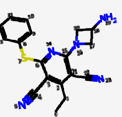 CCc1c(C#N)c(Sc2ccccc2)nc(N2CC(N)C2)c1C#N